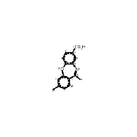 CC1=Nc2cc(C(=O)O)ccc2Oc2cc(C)ccc21